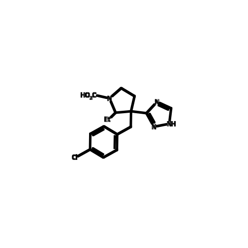 CCC1N(C(=O)O)CCC1(Cc1ccc(Cl)cc1)c1nc[nH]n1